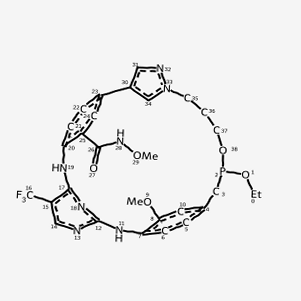 CCOP1Cc2ccc(c(OC)c2)Nc2ncc(C(F)(F)F)c(n2)Nc2ccc(cc2C(=O)NOC)-c2cnn(c2)CCCO1